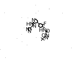 Cn1cc(-c2nc3c(-c4ccc(CNC(=O)c5nnc(C(C)(C)C)o5)c(F)c4)ccnc3[nH]2)cn1